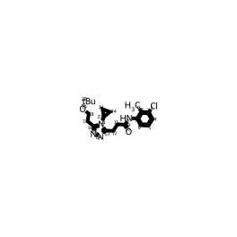 Cc1c(Cl)cccc1NC(=O)CCc1nnc(CCOC(C)(C)C)n1C1CC1